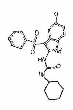 O=C(Nc1[nH]c2ccc(Cl)cc2c1S(=O)(=O)c1ccccc1)NC1CCCCC1